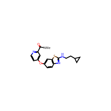 CNC(=O)c1cc(Oc2ccc3nc(NCCC4CC4)sc3c2)ccn1